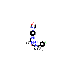 CC[C@@H](CNc1ccc(N2CCOCC2)cc1)NC(=O)[C@H](CC(C)C)N[C@@H](c1ccc(Cl)cc1)C(F)(F)F